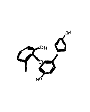 Cc1ccc(O)cc1.Cc1cccc(O)c1C=O.Oc1ccccc1